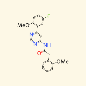 COc1ccccc1CC(=O)Nc1cc(-c2cc(F)ccc2OC)ncn1